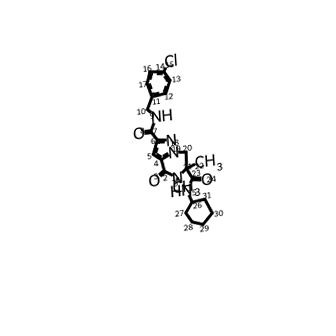 CN1C(=O)c2cc(C(=O)NCc3ccc(Cl)cc3)nn2CC1(C)C(=O)NC1CCCCC1